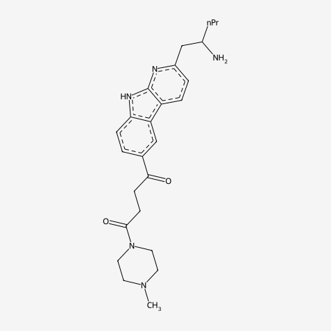 CCCC(N)Cc1ccc2c(n1)[nH]c1ccc(C(=O)CCC(=O)N3CCN(C)CC3)cc12